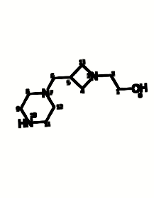 OCCN1CC(CN2CCNCC2)C1